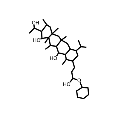 CC(C)C1CC(CCC(O)OC2CCCCC2)C(C)C2C(O)C3C(C)C4(C)C(O)C(C(C)O)C(C)CC4(C)CC3(C)CC12